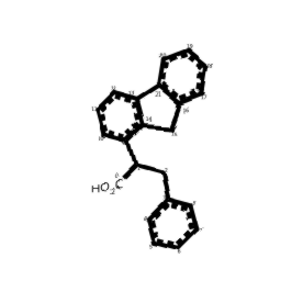 O=C(O)C(Cc1ccccc1)c1cccc2c1Cc1ccccc1-2